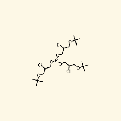 CC(C)(C)OCC(Cl)COP(OCC(Cl)COC(C)(C)C)OCC(Cl)COC(C)(C)C